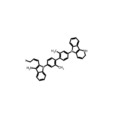 Cc1cc(-n2c3c(c4ccccc42)NCC=C3)ccc1-c1ccc(-n2c(/C=C\CI)c(N)c3ccccc32)cc1C